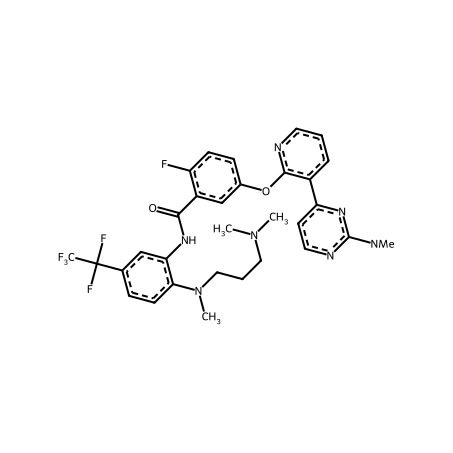 CNc1nccc(-c2cccnc2Oc2ccc(F)c(C(=O)Nc3cc(C(F)(F)C(F)(F)F)ccc3N(C)CCCN(C)C)c2)n1